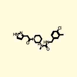 Cc1cc(CNC(=O)N(C)[C@@H]2CCCN(C(=O)Cc3cc[nH]n3)C2)ccc1Cl